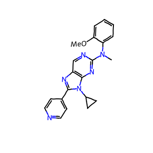 COc1ccccc1N(C)c1ncc2nc(-c3ccncc3)n(C3CC3)c2n1